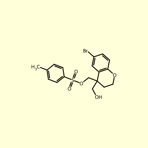 Cc1ccc(S(=O)(=O)OCC2(CO)CCOc3ccc(Br)cc32)cc1